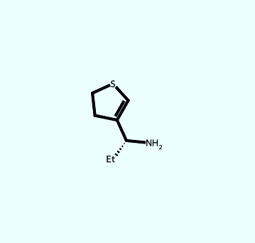 CC[C@@H](N)C1=CSCC1